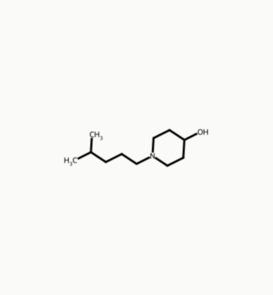 CC(C)CCCN1CCC(O)CC1